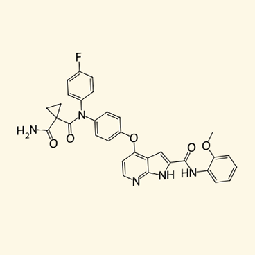 COc1ccccc1NC(=O)c1cc2c(Oc3ccc(N(C(=O)C4(C(N)=O)CC4)c4ccc(F)cc4)cc3)ccnc2[nH]1